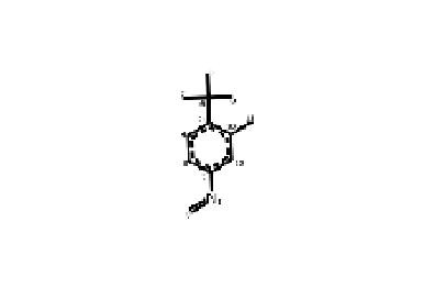 C=Nc1ccc(C(C)(C)C)c(C)c1